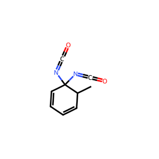 CC1C=CC=CC1(N=C=O)N=C=O